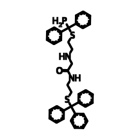 O=C(CNCCSC(P)(c1ccccc1)c1ccccc1)NCCSC(c1ccccc1)(c1ccccc1)c1ccccc1